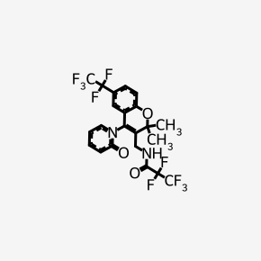 CC1(C)Oc2ccc(C(F)(F)C(F)(F)F)cc2C(n2ccccc2=O)=C1CNC(=O)C(F)(F)C(F)(F)F